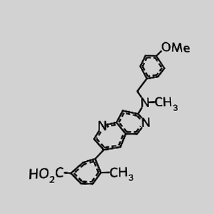 COc1ccc(CN(C)c2cc3ncc(-c4cc(C(=O)O)ccc4C)cc3cn2)cc1